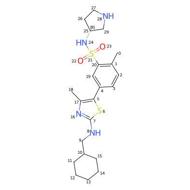 Cc1ccc(-c2sc(NCC3CCCCC3)nc2C)cc1S(=O)(=O)N[C@@H]1CCNC1